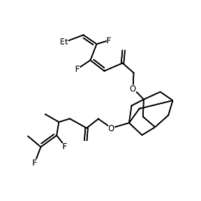 C=C(/C=C(F)\C(F)=C/CC)COC12CC3CC(C1)CC(OCC(=C)CC(C)/C(F)=C(\C)F)(C3)C2